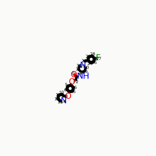 O=C(COc1ccc(Oc2ccccn2)cc1)NC1CCN(Cc2ccc(F)cc2)CC1